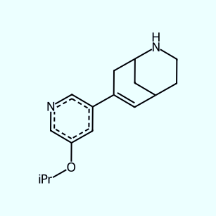 CC(C)Oc1cncc(C2=CC3CCNC(C2)C3)c1